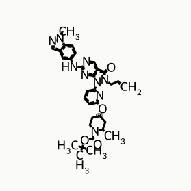 C=CCn1c(=O)c2cnc(Nc3ccc4c(cnn4C)c3)nc2n1-c1cccc(O[C@@H]2CCN(C(=O)OC(C)(C)C)C(C)C2)n1